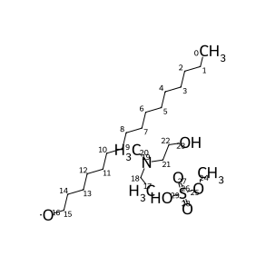 CCCCCCCCCCCCCCCC[O].CCN(C)CCO.COS(=O)(=O)O